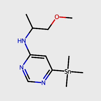 COCC(C)Nc1c[c]([Sn]([CH3])([CH3])[CH3])ncn1